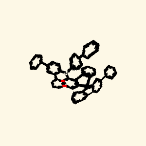 c1ccc(-c2ccc(N(c3ccc(-c4ccccc4)cc3-c3ccccc3)c3cccc4c3-c3ccccc3C43c4ccccc4-c4ccc(-c5ccccc5)cc43)cc2)cc1